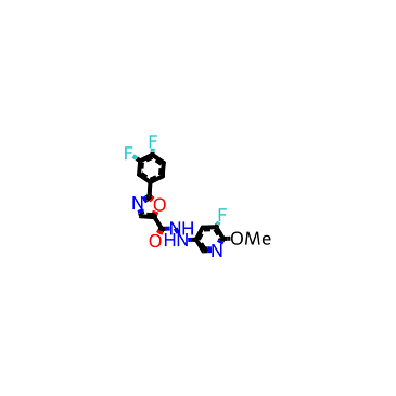 COc1ncc(NNC(=O)c2cnc(-c3ccc(F)c(F)c3)o2)cc1F